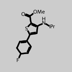 COC(=O)c1sc(C2=CCC(F)C=C2)cc1NC(C)C